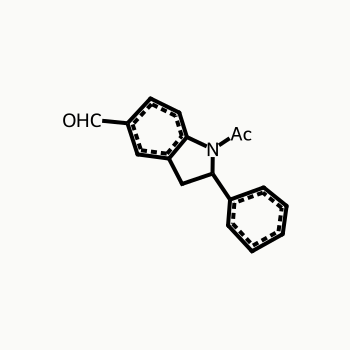 CC(=O)N1c2ccc(C=O)cc2CC1c1ccccc1